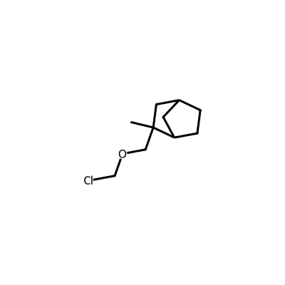 CC1(COCCl)CC2CCC1C2